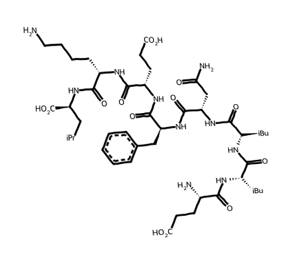 CC[C@H](C)[C@H](NC(=O)[C@@H](NC(=O)[C@@H](N)CCC(=O)O)[C@@H](C)CC)C(=O)N[C@@H](CC(N)=O)C(=O)N[C@@H](Cc1ccccc1)C(=O)N[C@@H](CCC(=O)O)C(=O)N[C@@H](CCCCN)C(=O)N[C@@H](CC(C)C)C(=O)O